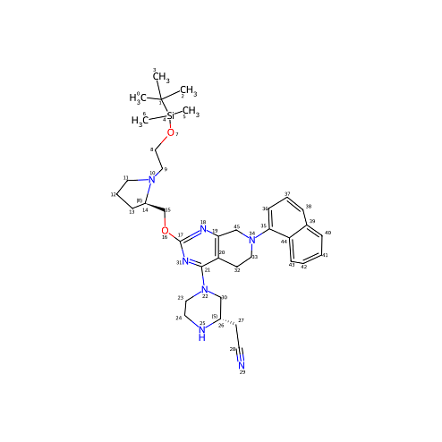 CC(C)(C)[Si](C)(C)OCCN1CCC[C@@H]1COc1nc2c(c(N3CCN[C@@H](CC#N)C3)n1)CCN(c1cccc3ccccc13)C2